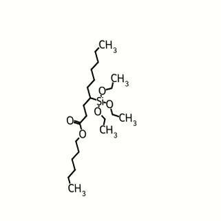 CCCCCCOC(=O)CCC(CCCCCC)[Si](OCC)(OCC)OCC